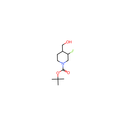 CC(C)(C)OC(=O)N1CCC(CO)C(F)C1